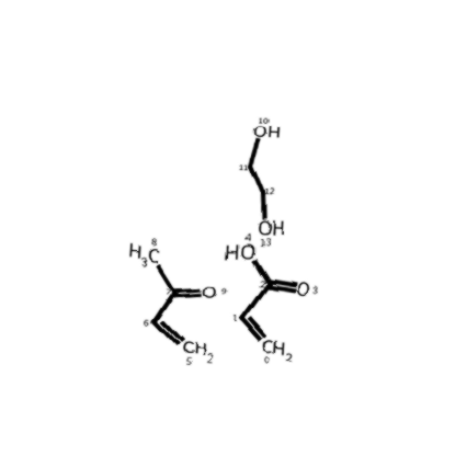 C=CC(=O)O.C=CC(C)=O.OCCO